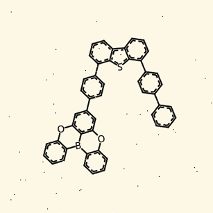 c1ccc(-c2ccc(-c3cccc4c3sc3c(-c5ccc(-c6cc7c8c(c6)Oc6ccccc6B8c6ccccc6O7)cc5)cccc34)cc2)cc1